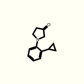 O=C1CCN(c2ccccc2C2CC2)C1